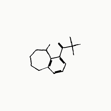 [2H]C1CCCCc2cccc(C(=O)C(C)(C)C)c21